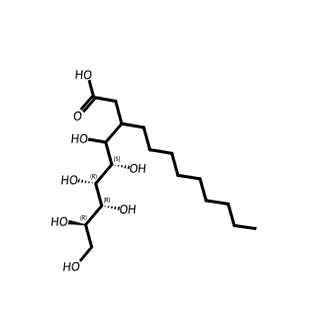 CCCCCCCCCC(CC(=O)O)C(O)[C@H](O)[C@@H](O)[C@H](O)[C@H](O)CO